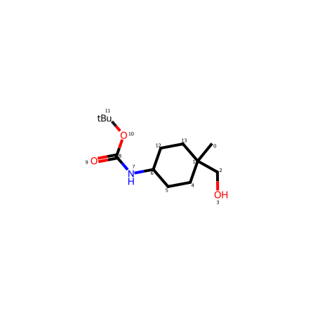 CC1(CO)CCC(NC(=O)OC(C)(C)C)CC1